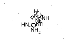 N=Cc1ccc(Nc2nc(NC3CCC3)c3c(Cl)c[nH]c3n2)cc1N